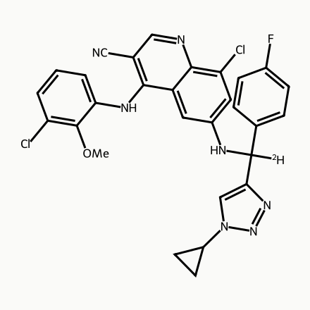 [2H]C(Nc1cc(Cl)c2ncc(C#N)c(Nc3cccc(Cl)c3OC)c2c1)(c1ccc(F)cc1)c1cn(C2CC2)nn1